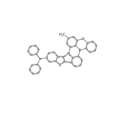 Cc1cc2c3c(c1)-n1c4c(cccc4c4sc5cc(N(c6ccccc6)c6ccccc6)ccc5c41)B3c1ccccc1O2